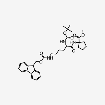 COC(=O)C1(NC(=O)C(CCCCNC(=O)OCC2c3ccccc3-c3ccccc32)NC(=O)OC(C)(C)C)CCCC1